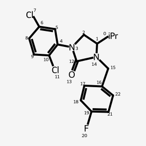 CC(C)C1CN(c2cc(Cl)ccc2Cl)C(=O)N1Cc1ccc(F)cc1